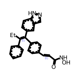 CC/C(=C(/c1ccc(/C=C/C(=O)NO)cc1)c1ccc2[nH]ncc2c1)c1ccccc1